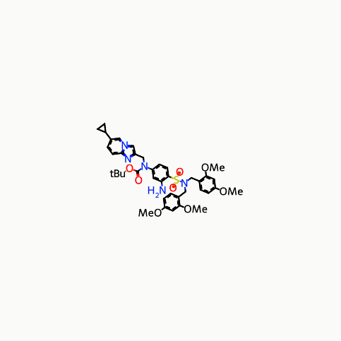 COc1ccc(CN(Cc2ccc(OC)cc2OC)S(=O)(=O)c2ccc(N(Cc3cn4cc(C5CC5)ccc4n3)C(=O)OC(C)(C)C)cc2N)c(OC)c1